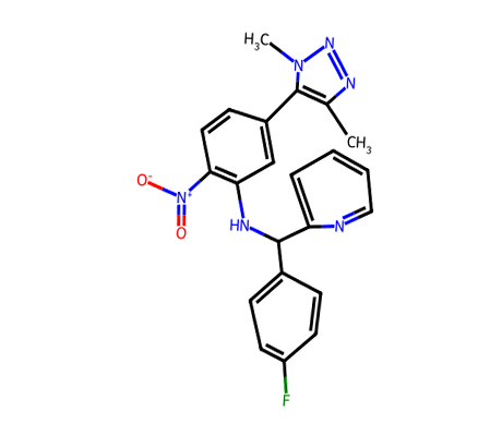 Cc1nnn(C)c1-c1ccc([N+](=O)[O-])c(NC(c2ccc(F)cc2)c2ccccn2)c1